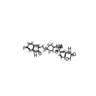 O=C1COc2ccc(S(=O)(=O)NC3CCN(CCc4nc5ccc(F)cc5[nH]c4=O)CC3)cc2N1